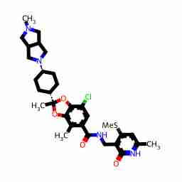 CSc1cc(C)[nH]c(=O)c1CNC(=O)c1cc(Cl)c2c(c1C)OC(C)([C@H]1CC[C@@H](N3CC4CN(C)CC4C3)CC1)O2